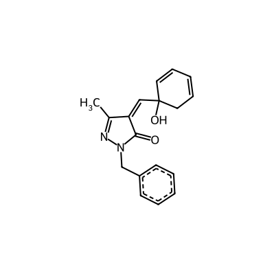 CC1=NN(Cc2ccccc2)C(=O)C1=CC1(O)C=CC=CC1